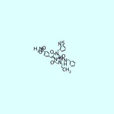 C=CCN1CC(=O)N2[C@@H](Cc3ccc(S(N)(=O)=O)cc3)C(=O)N(Cc3cccc4scnc34)C[C@@H]2N1C(=O)NCc1ccccc1